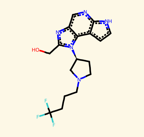 OCc1nc2cnc3[nH]ccc3c2n1[C@H]1CCN(CCCC(F)(F)F)C1